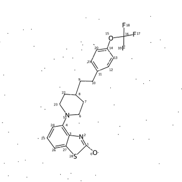 [O]c1nc2c(N3CCC(CCc4ccc(OC(F)(F)F)cc4)CC3)cccc2s1